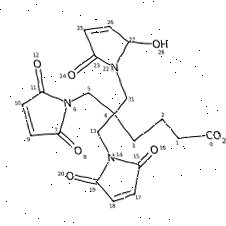 O=C(O)CCCC(CN1C(=O)C=CC1=O)(CN1C(=O)C=CC1=O)CN1C(=O)C=CC1O